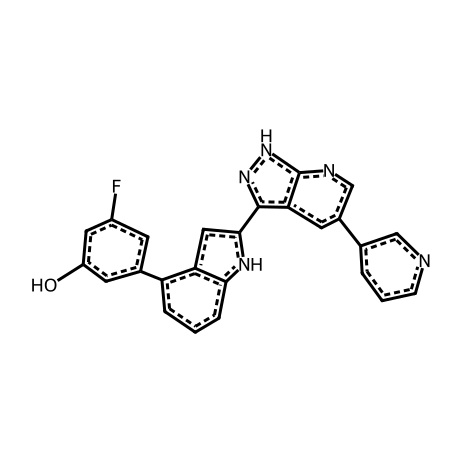 Oc1cc(F)cc(-c2cccc3[nH]c(-c4n[nH]c5ncc(-c6cccnc6)cc45)cc23)c1